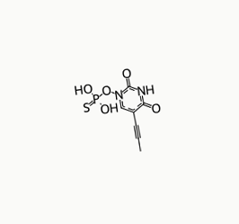 CC#Cc1cn(OP(O)(O)=S)c(=O)[nH]c1=O